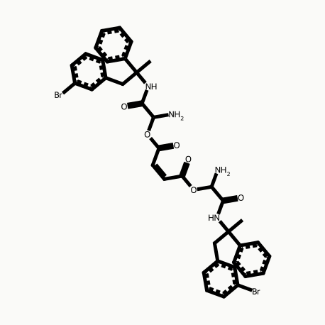 CC(Cc1cccc(Br)c1)(NC(=O)C(N)OC(=O)/C=C\C(=O)OC(N)C(=O)NC(C)(Cc1cccc(Br)c1)c1ccccc1)c1ccccc1